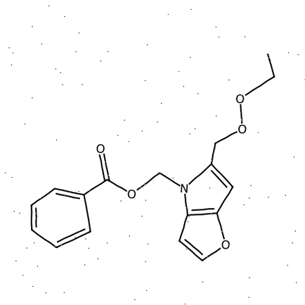 CCOOCc1cc2occc2n1COC(=O)c1ccccc1